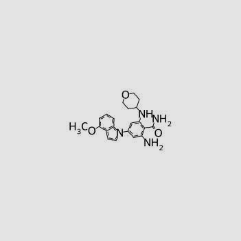 COc1cccc2c1ccn2-c1cc(N)c(C(N)=O)c(NC2CCOCC2)c1